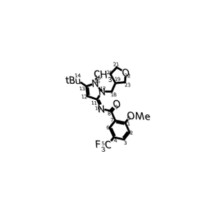 COc1ccc(C(F)(F)F)cc1C(=O)N=c1cc(C(C)(C)C)n(C)n1CC1CCOC1